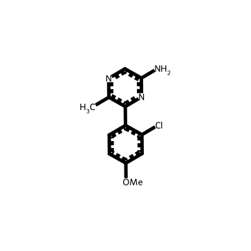 COc1ccc(-c2nc(N)cnc2C)c(Cl)c1